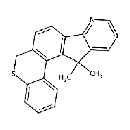 CC1(C)c2cccnc2-c2ccc3c(c21)-c1ccccc1SC3